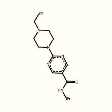 CC(C)CN1CCN(c2ncc(C(=O)NC(C)C)cn2)CC1